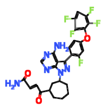 NC(=O)/C=C/C(=O)C1CCCCC(n2nc(-c3ccc(Oc4c(F)c(F)cc(F)c4F)cc3F)c3c(N)ncnc32)C1